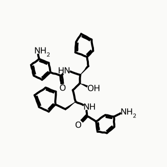 Nc1cccc(C(=O)N[C@@H](Cc2ccccc2)C[C@H](O)[C@H](Cc2ccccc2)NC(=O)c2cccc(N)c2)c1